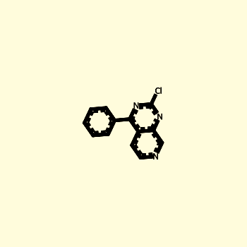 Clc1nc(-c2ccccc2)c2ccncc2n1